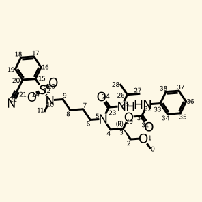 COC[C@@H](CN(CCCCN(C)S(=O)(=O)c1ccccc1C#N)C(=O)NC(C)C)OC(=O)Nc1ccccc1